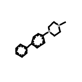 CN1CCN(c2ccc(-c3ccccc3)cc2)CC1